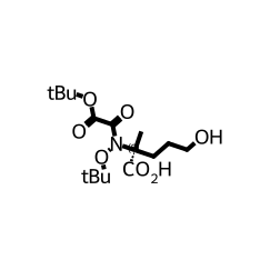 CC(C)(C)OC(=O)C(=O)N(OC(C)(C)C)[C@@](C)(CCCO)C(=O)O